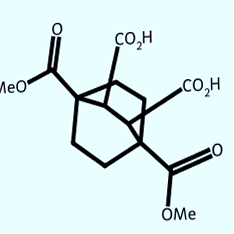 COC(=O)C12CCC(C(=O)OC)(CC1)C(C(=O)O)C2C(=O)O